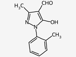 Cc1ccccc1-n1nc(C)c(C=O)c1O